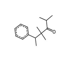 CC(C)C(=O)C(C)(C)C(C)c1ccccc1